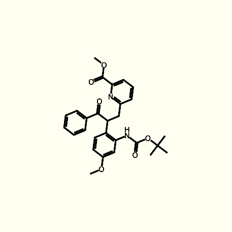 COC(=O)c1cccc(CC(C(=O)c2ccccc2)c2ccc(OC)cc2NC(=O)OC(C)(C)C)n1